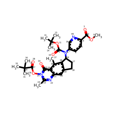 COC(=O)c1ccc(N(C(=O)OC(C)(C)C)C2CCc3cc4nc(C)n(OC(=O)C(C)(C)C)c(=O)c4c(C)c32)cn1